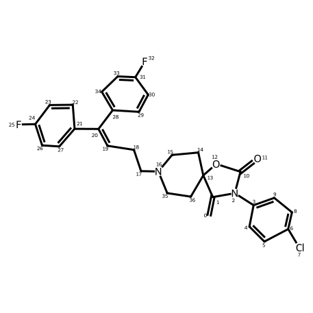 C=C1N(c2ccc(Cl)cc2)C(=O)OC12CCN(CCC=C(c1ccc(F)cc1)c1ccc(F)cc1)CC2